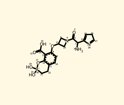 NC(C(=O)N1CC(Oc2ccc3c(c2C(=O)O)O[B-](O)(O)CC3)C1)C1=CCC=N1